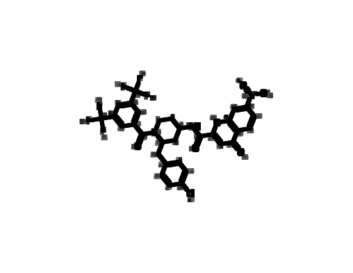 O=C(NC1CCN(C(=O)c2cc(C(F)(F)F)cc(C(F)(F)F)c2)C(Cc2ccc(Cl)cc2)C1)c1cc(=O)c2ccc([N+](=O)[O-])cc2o1